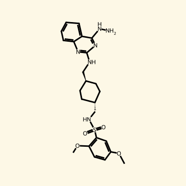 COc1ccc(OC)c(S(=O)(=O)NC[C@H]2CC[C@H](CNc3nc(NN)c4ccccc4n3)CC2)c1